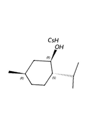 CC(C)[C@@H]1CC[C@@H](C)C[C@H]1O.[CsH]